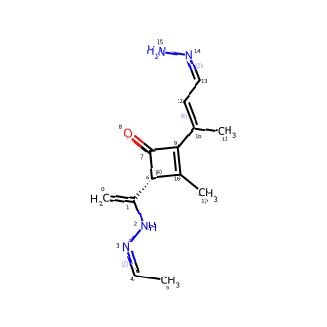 C=C(N/N=C\C)[C@@H]1C(=O)C(/C(C)=C/C=N\N)=C1C